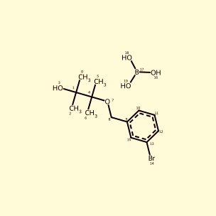 CC(C)(O)C(C)(C)OCc1cccc(Br)c1.OB(O)O